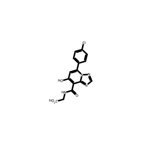 O=C(O)CNC(=O)c1c(O)cc(-c2ccc(Cl)cc2)n2ncnc12